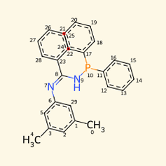 Cc1cc(C)cc(N=C(NP(c2ccccc2)c2ccccc2)c2ccccc2)c1